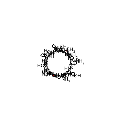 CCCC[C@H]1C(=O)N(C)[C@@H](CCCC)C(=O)N[C@@H](CN)C(=O)N[C@H](C(=O)NCC(N)=O)CSCC(=O)N[C@@H](CCc2ccc(O)cc2)C(=O)N(C)[C@@H](C)C(=O)N[C@@H](CC(N)=O)C(=O)N2CCC[C@H]2C(=O)N[C@@H](CN)C(=O)N[C@@H](CCC(=O)O)C(=O)N2C[C@H](O)C[C@H]2C(=O)N[C@@H](Cc2c[nH]c3ccccc23)C(=O)N[C@@H](CO)C(=O)N[C@@H](Cc2c[nH]c3ccccc23)C(=O)N1C